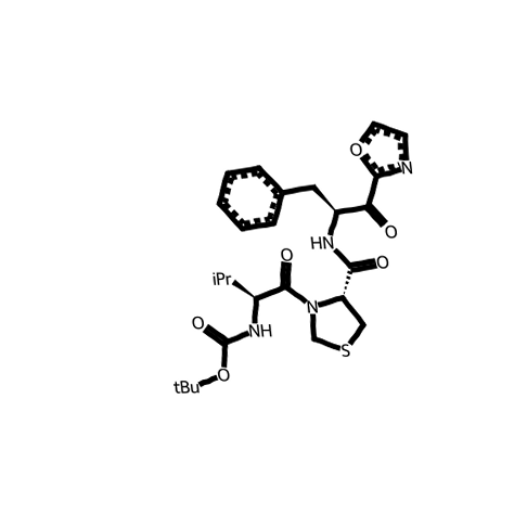 CC(C)[C@H](NC(=O)OC(C)(C)C)C(=O)N1CSC[C@H]1C(=O)N[C@@H](Cc1ccccc1)C(=O)c1ncco1